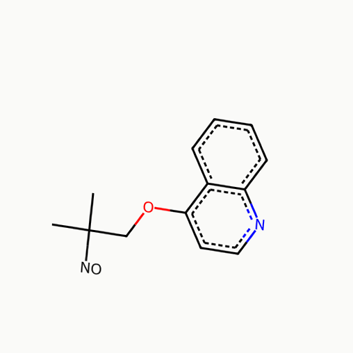 CC(C)(COc1ccnc2ccccc12)N=O